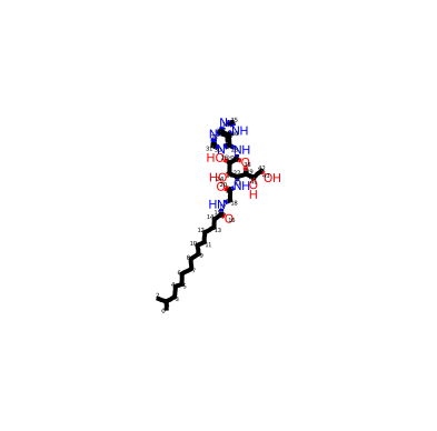 CC(C)CCCCCCCCCCCCC(=O)NCC(=O)NC1C(O)C(O)C(Nc2ncnc3nc[nH]c23)OC1C(O)CO